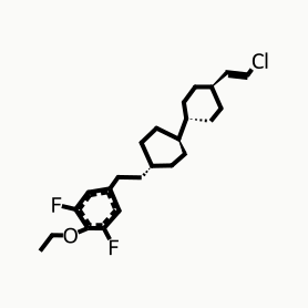 CCOc1c(F)cc(CC[C@H]2CC[C@H]([C@H]3CC[C@H](/C=C/Cl)CC3)CC2)cc1F